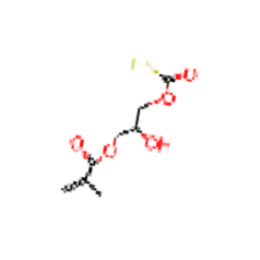 C=C(C)C(=O)OCC(O)COC(=O)S